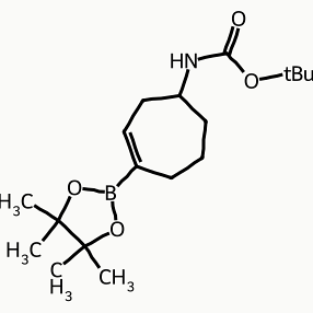 CC(C)(C)OC(=O)NC1CC=C(B2OC(C)(C)C(C)(C)O2)CCC1